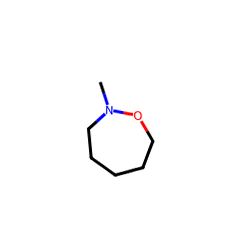 CN1CCCCCO1